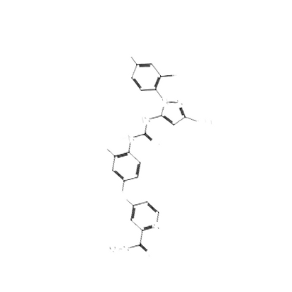 CNC(=O)c1cc(Oc2ccc(NC(=O)Nc3cc(C(C)(C)C)nn3-c3ccc(F)cc3F)c(F)c2)ccn1